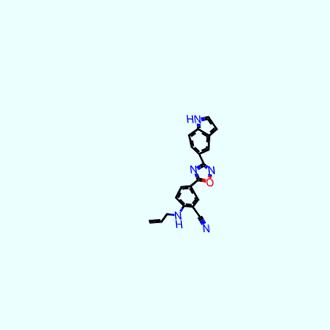 C=CCNc1ccc(-c2nc(-c3ccc4[nH]ccc4c3)no2)cc1C#N